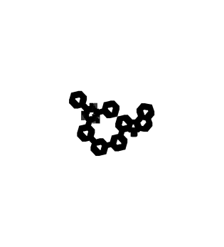 c1ccc(-c2nc(-c3ccccc3)nc(-c3cccc(-c4cccc(-c5cccc(-c6cccc7c6sc6ccc8ccccc8c67)c5)c4)c3)n2)cc1